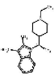 Cc1c(C(=O)O)c2ccccc2n1[C@@H](C1CCN(CC(F)(F)F)CC1)C(F)(F)F